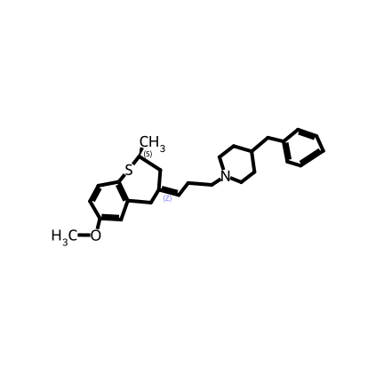 COc1ccc2c(c1)C/C(=C/CCN1CCC(Cc3ccccc3)CC1)C[C@H](C)S2